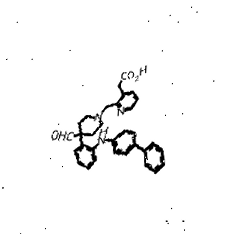 O=CC1(c2ccccc2Nc2ccc(-c3ccccc3)cc2)CCN(Cc2ncccc2CC(=O)O)CC1